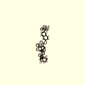 O=C(Oc1ccc2cc(S(=O)(=O)O)ccc2c1)C1=C2O[C@@H]3C(=C2OC(=O)C24CC5CC(C2)C(=O)C(C5)C4)OC(=O)[C@H]13